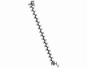 C[Si](C)(Cl)CCCCCCCCCCCCCCCCCCCCCCCCCCCCCCCCN